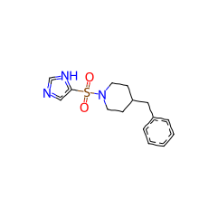 O=S(=O)(c1cnc[nH]1)N1CCC(Cc2ccccc2)CC1